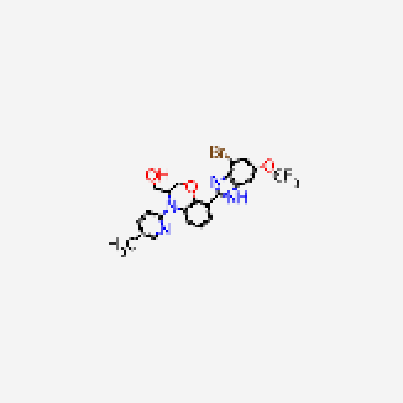 Cc1ccc(N2c3cccc(-c4nc5c(Br)cc(OC(F)(F)F)cc5[nH]4)c3OCC2CO)nc1